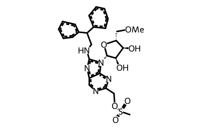 COC[C@H]1O[C@@H](n2c(NCC(c3ccccc3)c3ccccc3)nc3cnc(COS(C)(=O)=O)nc32)[C@H](O)[C@@H]1O